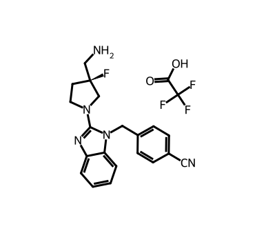 N#Cc1ccc(Cn2c(N3CC[C@](F)(CN)C3)nc3ccccc32)cc1.O=C(O)C(F)(F)F